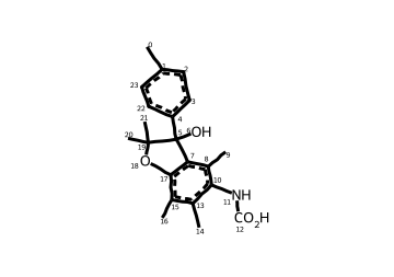 Cc1ccc(C2(O)c3c(C)c(NC(=O)O)c(C)c(C)c3OC2(C)C)cc1